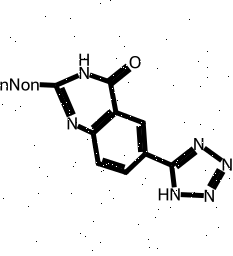 CCCCCCCCCc1nc2ccc(-c3nnn[nH]3)cc2c(=O)[nH]1